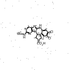 CC(C)(C)Nc1ncc2nc(Nc3ccc(Cl)c(Cl)c3)n(C3CCN(C(=O)O)C3)c2n1